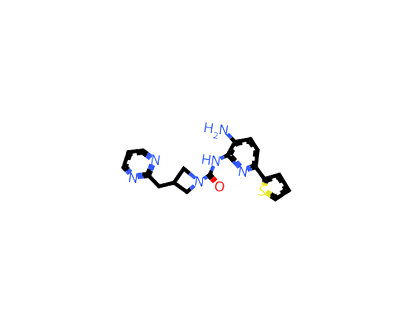 Nc1ccc(-c2cccs2)nc1NC(=O)N1CC(Cc2ncccn2)C1